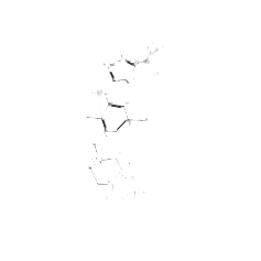 CCOC(=O)N1CCN(Cc2cc(C)cc(Nc3nnc([C@@H](C)O)o3)c2C)C[C@@H]1C